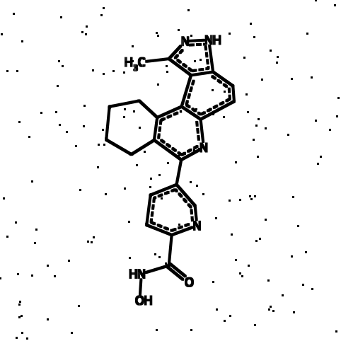 Cc1n[nH]c2ccc3nc(-c4ccc(C(=O)NO)nc4)c4c(c3c12)CCCC4